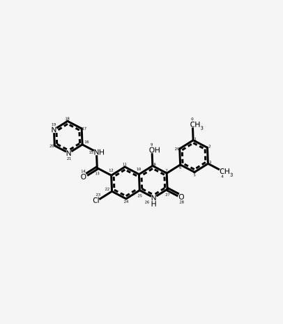 Cc1cc(C)cc(-c2c(O)c3cc(C(=O)Nc4ccncn4)c(Cl)cc3[nH]c2=O)c1